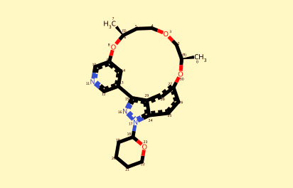 C[C@@H]1COCC[C@H](C)Oc2cncc(c2)-c2nn(C3CCCCO3)c3ccc(cc23)O1